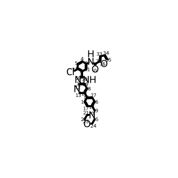 O=C(Nc1ccc(Cl)c(-c2nc3ncc(-c4ccc(CN5CCOCC5)cc4)cc3[nH]2)c1)c1ccco1